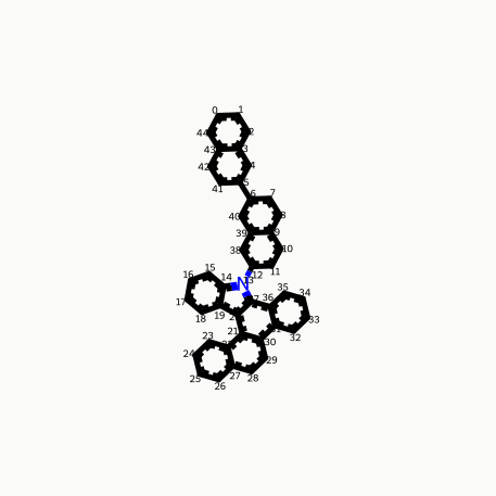 c1ccc2cc(-c3ccc4ccc(-n5c6ccccc6c6c7c8ccccc8ccc7c7ccccc7c65)cc4c3)ccc2c1